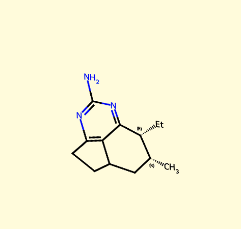 CC[C@H]1c2nc(N)nc3c2C(CC3)C[C@H]1C